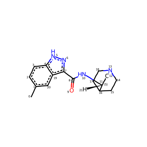 Cc1ccc2[nH]nc(C(=O)N[C@@H]3CN4CCC3CC4)c2c1